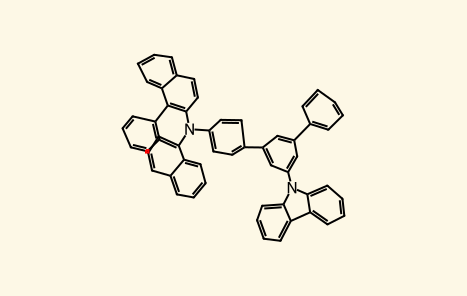 c1ccc(-c2cc(-c3ccc(N(c4ccc5ccccc5c4-c4ccccc4)c4cccc5ccccc45)cc3)cc(-n3c4ccccc4c4ccccc43)c2)cc1